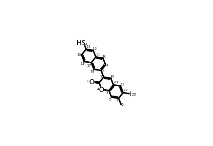 Cc1cc2oc(=O)c(-c3ccc4cc(S)ccc4c3)cc2cc1I